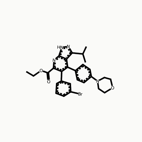 CCOC(=O)c1nc2[nH]nc(C(C)C)c2c(-c2ccc(N3CCOCC3)cc2)c1-c1cccc(Br)c1